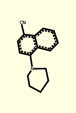 N#Cc1ccc(N2CCCCC2)c2ccccc12